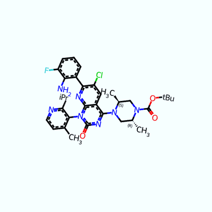 Cc1ccnc(C(C)C)c1-n1c(=O)nc(N2C[C@@H](C)N(C(=O)OC(C)(C)C)C[C@@H]2C)c2cc(Cl)c(-c3cccc(F)c3N)nc21